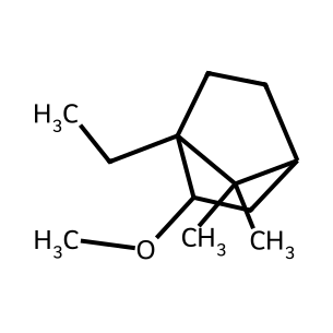 CCC12CCC(CC1OC)C2(C)C